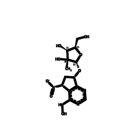 C[C@]1(O)[C@@H](ON2CN([N+](=O)[O-])c3c(NO)ncnc32)O[C@H](CO)[C@H]1O